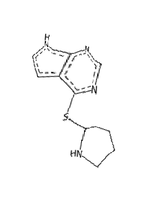 c1nc(SC2CCCN2)c2cc[nH]c2n1